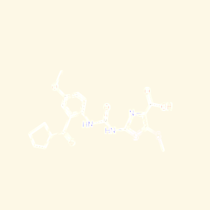 COc1ccc(NC(=O)Nc2nc(C(=O)O)c(SC)s2)c(C(=O)C2CCCC2)c1